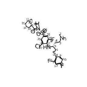 CN(C)CC[C@H](CSc1ccc(F)cc1F)Nc1c(F)cc(S(=O)(=O)NC(=O)[C@@]2(C)CCCCO2)cc1Cl